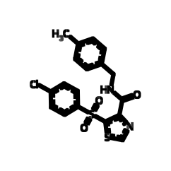 Cc1ccc(CNC(=O)c2ncsc2S(=O)(=O)c2ccc(Cl)cc2)cc1